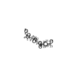 COCc1ccc(C(C)(C)c2ccc(COC(=O)c3ccc(C(C)=O)cc3)o2)o1